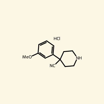 COc1cccc(C2(C#N)CCNCC2)c1.Cl